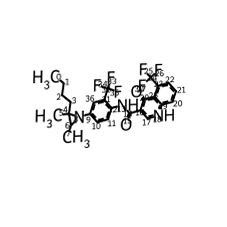 CCCCC1(C)C(C)N1c1ccc(NC(=O)c2c[nH]c3cccc(C(F)(F)F)c3c2=O)c(C(F)(F)F)c1